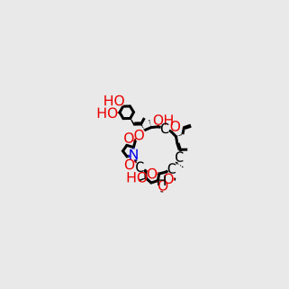 C=CC[C@@H]1/C=C(\C)C[C@H](C)C[C@H](OC)[C@H]2O[C@@](O)(CC(=O)N3CCCC3C(=O)O[C@H](/C(C)=C/[C@@H]3CCC(O)[C@H](O)C3)[C@H](C)[C@@H](O)CC1=O)[C@H](C)C[C@@H]2OC